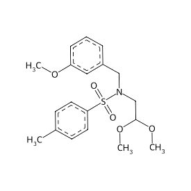 COc1cccc(CN(CC(OC)OC)S(=O)(=O)c2ccc(C)cc2)c1